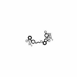 CC1(c2ccccc2Cl)CCN(CCCOc2cccc3c2CN([C@@]2(C)CCC(=O)NC2=O)C3=O)CC1